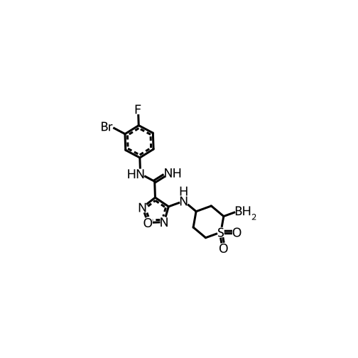 BC1CC(Nc2nonc2C(=N)Nc2ccc(F)c(Br)c2)CCS1(=O)=O